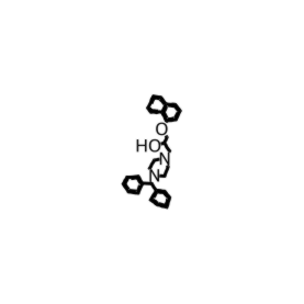 OC(COc1cccc2ccccc12)CN1CCN(C(c2ccccc2)c2ccccc2)CC1